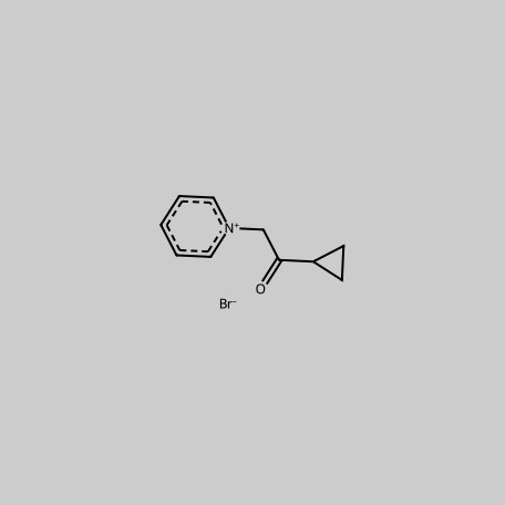 O=C(C[n+]1ccccc1)C1CC1.[Br-]